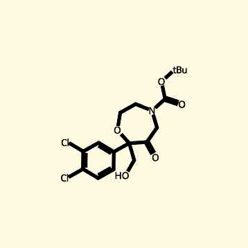 CC(C)(C)OC(=O)N1CCOC(CO)(c2ccc(Cl)c(Cl)c2)C(=O)C1